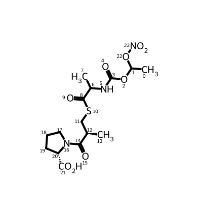 CC(OC(=O)NC(C)C(=O)SC[C@@H](C)C(=O)N1CCC[C@H]1C(=O)O)O[N+](=O)[O-]